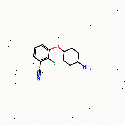 N#Cc1cccc(OC2CCC(N)CC2)c1Cl